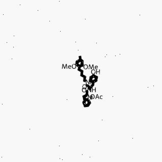 COc1cc(C)cc(OC)c1CCCCCNC(=O)C(Cc1ccc(O)cc1)NC(=O)c1cc2ccccc2n1OC(C)=O